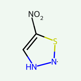 O=[N+]([O-])C1=CN[N]S1